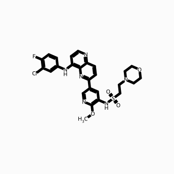 COc1ncc(-c2ccc3nccc(Nc4ccc(F)c(Cl)c4)c3n2)cc1NS(=O)(=O)CCN1CCOCC1